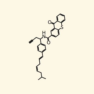 C#CCC(NC(=O)c1ccc2sc3ccccc3c(=O)c2c1)c1ccc(/C=C/C/C=C\CC(C)C)cc1